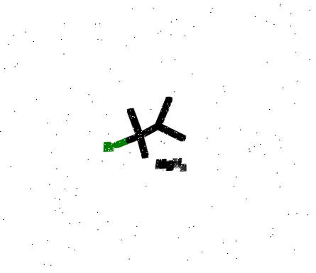 CC(C)C(C)(C)Br.[MgH2]